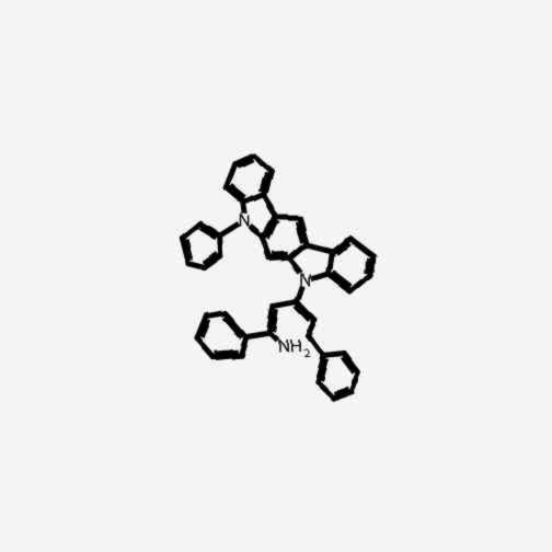 N/C(=C\C(=C/Cc1ccccc1)n1c2ccccc2c2cc3c4ccccc4n(-c4ccccc4)c3cc21)c1ccccc1